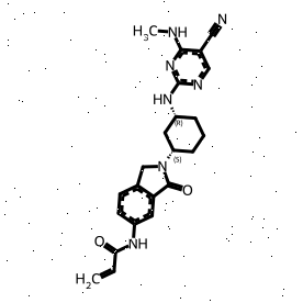 C=CC(=O)Nc1ccc2c(c1)C(=O)N([C@H]1CCC[C@@H](Nc3ncc(C#N)c(NC)n3)C1)C2